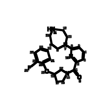 O=C(c1cccc(N2CCCNCC2)n1)N1CCC(Oc2ccccc2F)C1